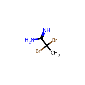 CC(Br)(Br)C(=N)N